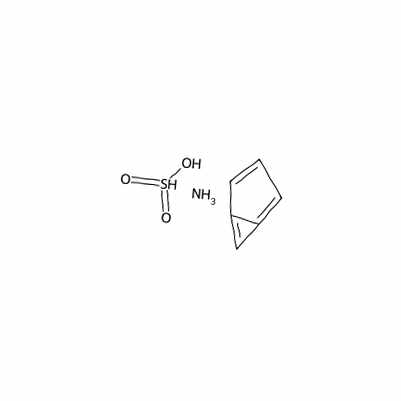 N.O=[SH](=O)O.c1cc2cc-2c1